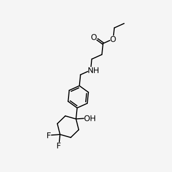 CCOC(=O)CCNCc1ccc(C2(O)CCC(F)(F)CC2)cc1